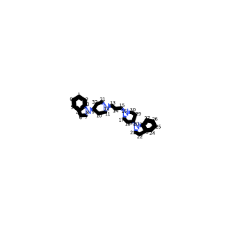 c1ccc2c(c1)CCN2C1CCN(CCCN2CCC(N3CCc4ccccc43)CC2)CC1